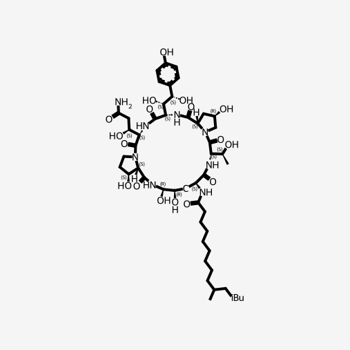 CCC(C)CC(C)CCCCCCCCC(=O)N[C@H]1C[C@@H](O)[C@@H](O)NC(=O)[C@@H]2[C@@H](O)CCN2C(=O)[C@H]([C@@H](O)CC(N)=O)NC(=O)[C@H]([C@H](O)[C@@H](O)c2ccc(O)cc2)NC(=O)[C@@H]2C[C@@H](O)CN2C(=O)[C@H]([C@H](C)O)NC1=O